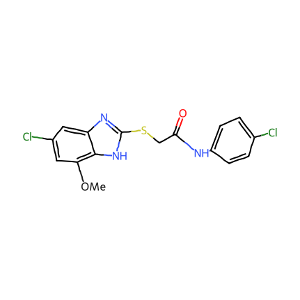 COc1cc(Cl)cc2nc(SCC(=O)Nc3ccc(Cl)cc3)[nH]c12